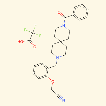 N#CCOc1ccccc1CN1CCC2(CC1)CCN(C(=O)c1ccccc1)CC2.O=C(O)C(F)(F)F